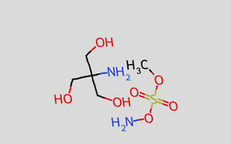 COS(=O)(=O)ON.NC(CO)(CO)CO